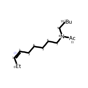 CC/C=C\CCCCCN(CC(C)CC)C(C)=O